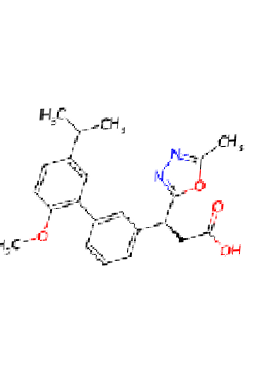 COc1ccc(C(C)C)cc1-c1cccc([C@H](CC(=O)O)c2nnc(C)o2)c1